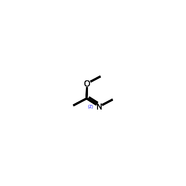 C/N=C(/C)OC